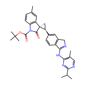 Cc1ccc2c(c1)[C@]1(C[C@H]1c1ccc3c(c1)CN=C3Nc1nc(C(C)C)ncc1C)C(=O)N2C(=O)OC(C)(C)C